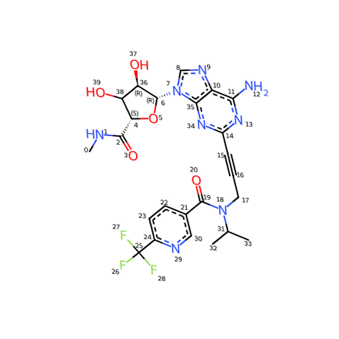 CNC(=O)[C@H]1O[C@@H](n2cnc3c(N)nc(C#CCN(C(=O)c4ccc(C(F)(F)F)nc4)C(C)C)nc32)[C@H](O)C1O